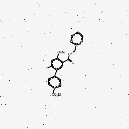 CCOC(=O)c1ccc(-c2cc(C(=O)OCc3ccccc3)c(OC)cc2F)cc1